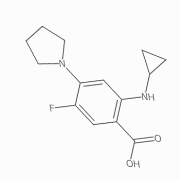 O=C(O)c1cc(F)c(N2CCCC2)cc1NC1CC1